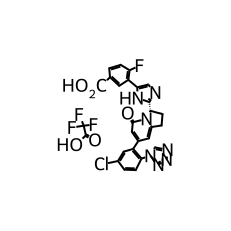 O=C(O)C(F)(F)F.O=C(O)c1ccc(F)c(-c2cnc([C@@H]3CCc4cc(-c5cc(Cl)ccc5-n5cnnn5)cc(=O)n43)[nH]2)c1